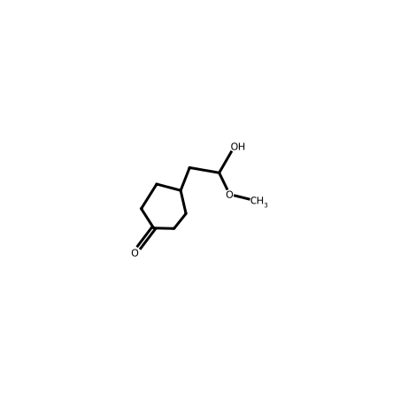 COC(O)CC1CCC(=O)CC1